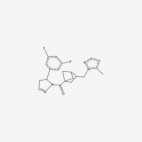 Cc1ccnn1CC1CC2(C(=O)N3N=CCC3c3cc(F)cc(F)c3)CC1C2